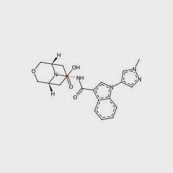 Cn1cc(-n2cc(C(=O)N[C@H]3C[C@H]4COC[C@@H](C3)N4C(=O)O)c3ccccc32)cn1